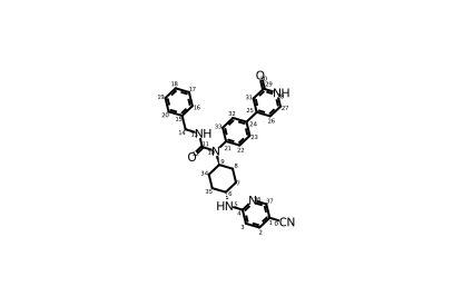 N#Cc1ccc(N[C@H]2CC[C@H](N(C(=O)NCc3ccccc3)c3ccc(-c4cc[nH]c(=O)c4)cc3)CC2)nc1